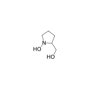 OCC1CCCN1O